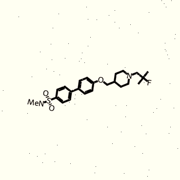 CNS(=O)(=O)c1ccc(-c2ccc(OCC3CCN(CC(C)(C)F)CC3)cc2)cc1